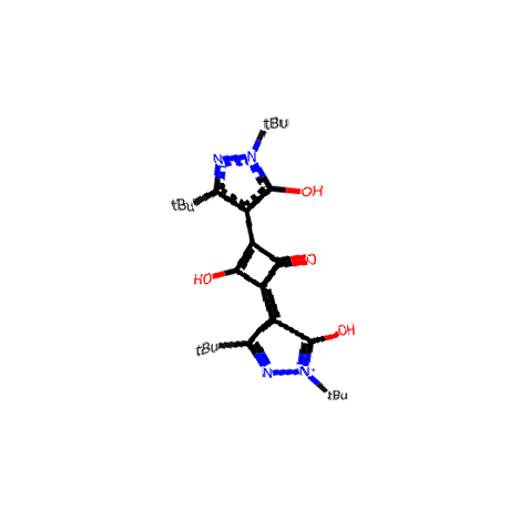 CC(C)(C)C1=N[N+](C(C)(C)C)=C(O)/C1=C1\C(=O)C(c2c(C(C)(C)C)nn(C(C)(C)C)c2O)=C1O